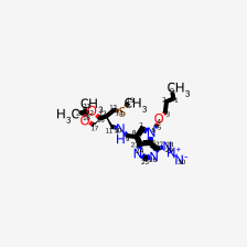 CCCCOCn1cc(CNC[C@H](CSC)[C@@H]2COC(C)(C)O2)c2ncnc(N=[N+]=[N-])c21